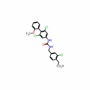 O=C(O)Cc1ccc(CNC(=O)Nc2cc(Cl)c(-c3ccccc3OC(F)(F)F)c(Cl)c2)cc1Cl